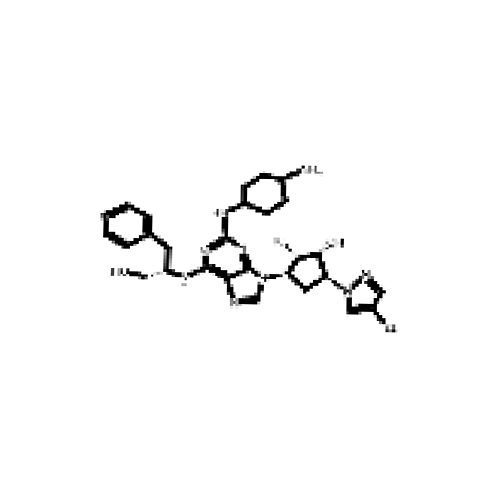 CCc1cnn([C@H]2C[C@@H](n3cnc4c(N[C@H](CO)Cc5ccccc5)nc(NC5CCC(N)CC5)nc43)[C@H](O)[C@@H]2O)c1